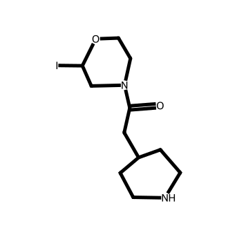 O=C(CC1CCNCC1)N1CCOC(I)C1